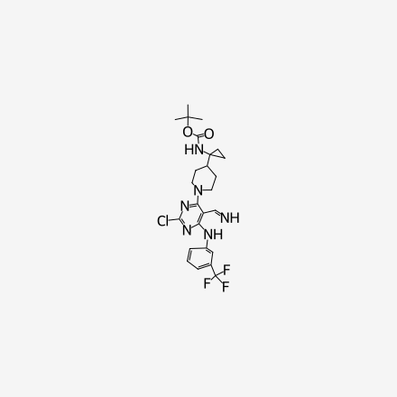 CC(C)(C)OC(=O)NC1(C2CCN(c3nc(Cl)nc(Nc4cccc(C(F)(F)F)c4)c3C=N)CC2)CC1